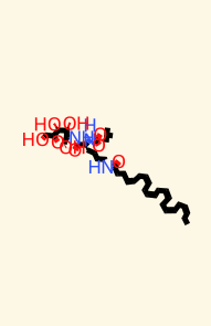 CC/C=C\C/C=C\C/C=C\C/C=C\C/C=C\C/C=C\CCC(=O)NCCCC[C@H](NC(=O)OC(C)(C)C)C(=O)NC1[C@H](O)OC(CO)[C@@H](O)[C@H]1O